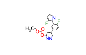 CCOC(=O)Oc1cc(-c2ccc(F)c(-c3ncccc3F)c2)cnn1